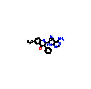 Cc1ccc2c(c1)C(=O)C(c1ccccc1)C(C(C)Nc1ncnc(N)c1C#N)=N2